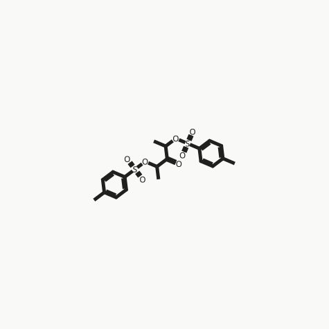 Cc1ccc(S(=O)(=O)OC(C)C(=O)C(C)OS(=O)(=O)c2ccc(C)cc2)cc1